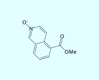 COC(=O)c1cccc2c[n+]([O-])ccc12